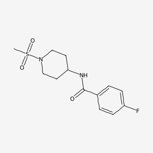 CS(=O)(=O)N1CCC(NC(=O)c2ccc(F)cc2)CC1